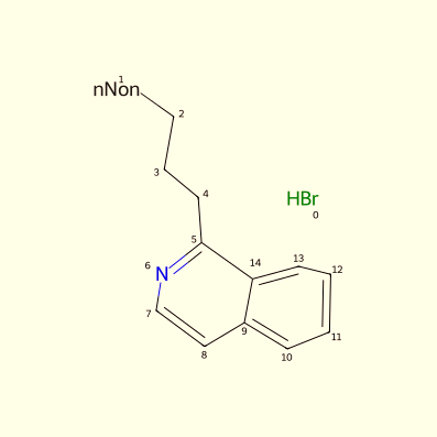 Br.CCCCCCCCCCCCc1nccc2ccccc12